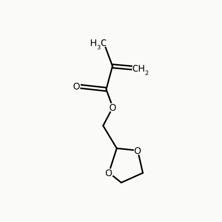 C=C(C)C(=O)OCC1OCCO1